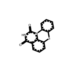 O=c1[nH]c(=O)n2c3c(cccc13)Sc1ccccc1-2